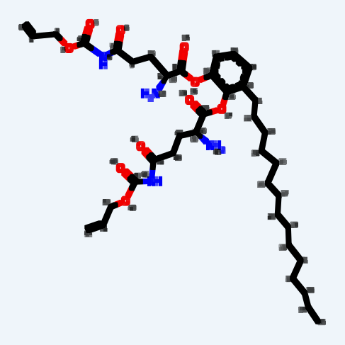 C=CCOC(=O)NC(=O)CC[C@H](N)C(=O)Oc1cccc(CCCCCCCCCCCCCCC)c1OC(=O)[C@@H](N)CCC(=O)NC(=O)OCC=C